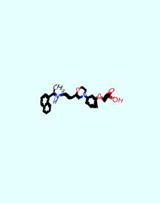 C[C@@H](NCCC1CN(c2cccc(OCC(=O)O)c2)CCO1)c1cccc2ccccc12